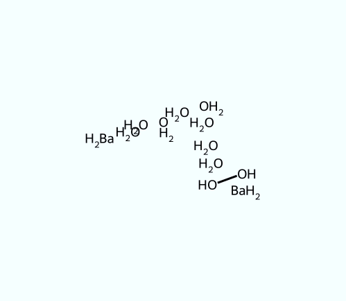 O.O.O.O.O.O.O.O.OO.[BaH2].[BaH2]